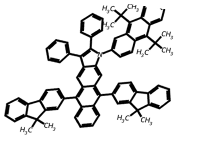 CC(C)(C)c1c2ccccc2c(C(C)(C)C)c2cc(-n3c(-c4ccccc4)c(-c4ccccc4)c4cc5c(-c6ccc7c(c6)C(C)(C)c6ccccc6-7)c6ccccc6c(-c6ccc7c(c6)C(C)(C)c6ccccc6-7)c5cc43)ccc12